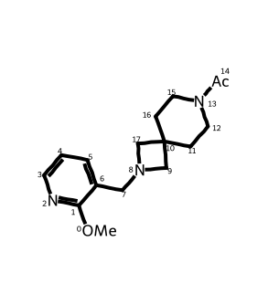 COc1ncccc1CN1CC2(CCN(C(C)=O)CC2)C1